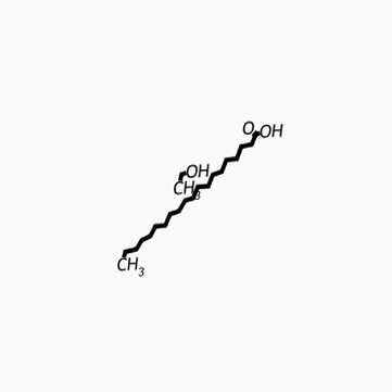 CCCCCCCCCCCCCCCCCCCC(=O)O.CCO